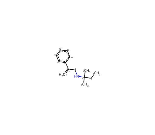 C=C(CNC(C)(C)CC)c1ccccc1